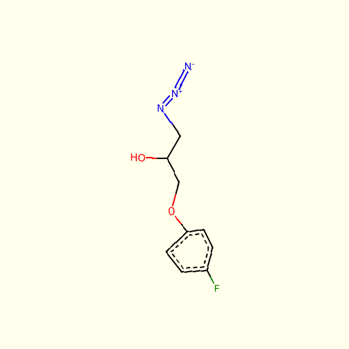 [N-]=[N+]=NCC(O)COc1ccc(F)cc1